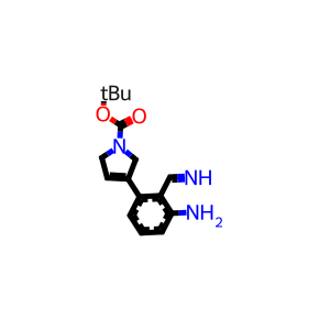 CC(C)(C)OC(=O)N1CC=C(c2cccc(N)c2C=N)C1